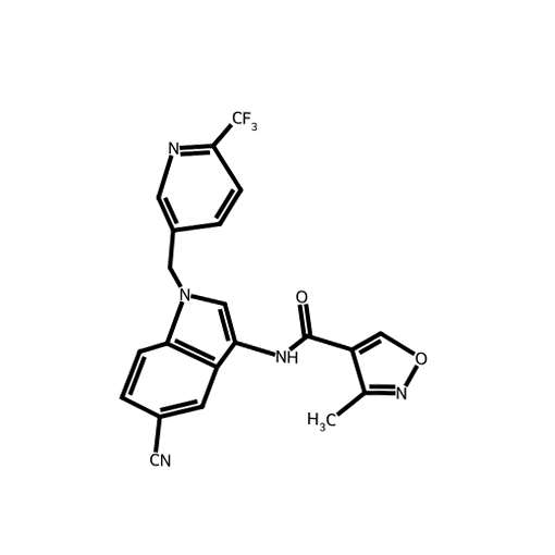 Cc1nocc1C(=O)Nc1cn(Cc2ccc(C(F)(F)F)nc2)c2ccc(C#N)cc12